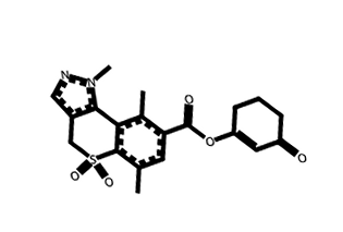 Cc1cc(C(=O)OC2=CC(=O)CCC2)c(C)c2c1S(=O)(=O)Cc1cnn(C)c1-2